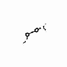 C[C@@H](O)[C@H](NC(=O)c1ccc(C#Cc2cccc(CNC(=O)CN)c2)cc1)C(=O)NO